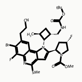 COC(=O)N1C[C@@H](F)C[C@@H]1c1cc2c(SC)nc3c(F)c(Br)c(CCC#N)cc3c2n1[C@H]1[C@@H](CNC(=O)OC(C)(C)C)C[C@@H]1C